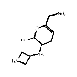 NCC1=CC[C@@H](NC2CNC2)[C@@H](O)O1